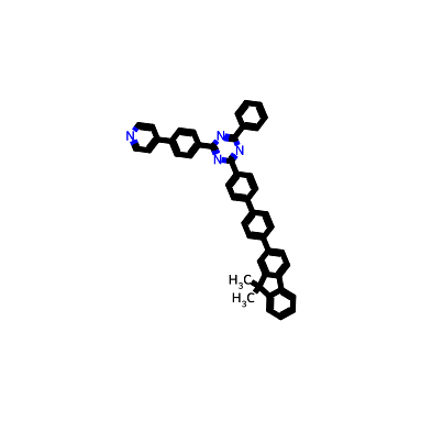 CC1(C)c2ccccc2-c2ccc(-c3ccc(-c4ccc(-c5nc(-c6ccccc6)nc(-c6ccc(-c7ccncc7)cc6)n5)cc4)cc3)cc21